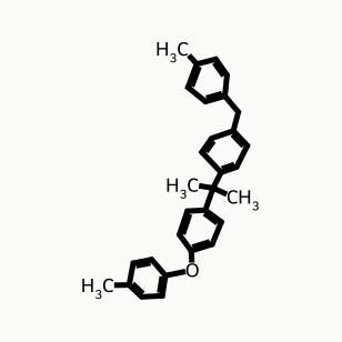 Cc1ccc(Cc2ccc(C(C)(C)c3ccc(Oc4ccc(C)cc4)cc3)cc2)cc1